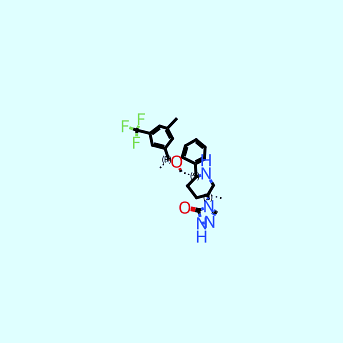 Cc1cc([C@@H](C)OC[C@@]2(c3ccccc3)CC[C@](C)(n3cn[nH]c3=O)CN2)cc(C(F)(F)F)c1